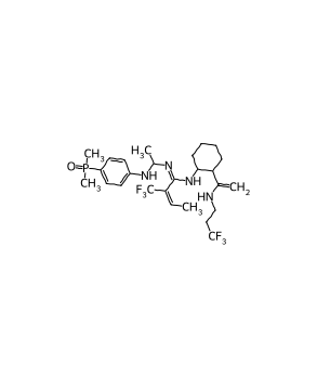 C=C(NCCC(F)(F)F)C1CCCCC1NC(=N/C(C)Nc1ccc(P(C)(C)=O)cc1)/C(=C\C)C(F)(F)F